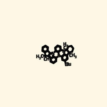 CC(C)(C)c1cc2c3c(c1)C1(C)CCCCC1(C)N3c1cccc3c1B2c1cccc2c4c(n-3c12)-c1ccccc1C4(C)C